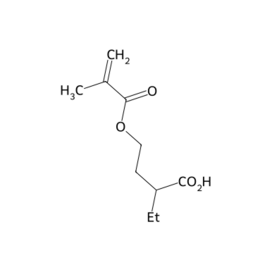 C=C(C)C(=O)OCCC(CC)C(=O)O